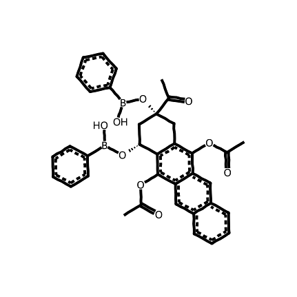 CC(=O)Oc1c2c(c(OC(C)=O)c3cc4ccccc4cc13)[C@H](OB(O)c1ccccc1)C[C@@](OB(O)c1ccccc1)(C(C)=O)C2